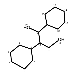 OCC(C1CCCCC1)C(O)C1CCCCC1